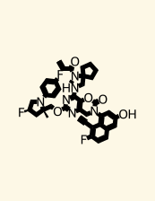 C#Cc1c(F)ccc2cc(O)cc(N3Cc4nc(OC[C@]5(C)C[C@@H](F)CN5c5ccc(F)cc5)nc(NCC5(N(C)C(=O)C=C)CCCC5)c4OC3=O)c12